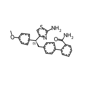 COc1ccc([C@H](Cc2ccc(-c3ccccc3C(N)=O)cc2)c2csc(N)n2)cc1